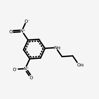 O=[N+]([O-])c1[c]c(NCCO)cc([N+](=O)[O-])c1